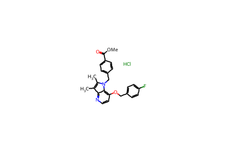 COC(=O)c1ccc(Cn2c(C)c(C)c3nccc(OCc4ccc(F)cc4)c32)cc1.Cl